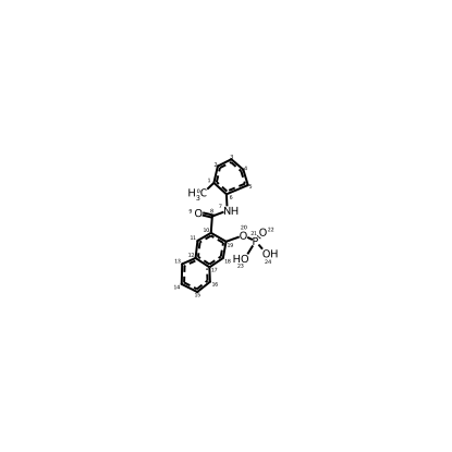 Cc1ccccc1NC(=O)c1cc2ccccc2cc1OP(=O)(O)O